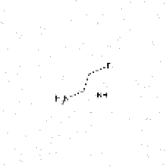 N.NCCF